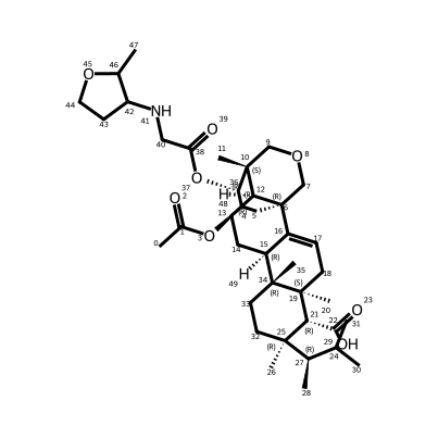 CC(=O)O[C@@H]1C[C@@]23COC[C@](C)([C@@H]2CC[C@H]2C3=CC[C@@]3(C)[C@H](C(=O)O)[C@@](C)([C@H](C)C(C)C)CC[C@]23C)[C@H]1OC(=O)CNC1CCOC1C